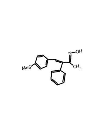 CSc1ccc(/C=C(/C(C)=N/O)c2ccccc2)cc1